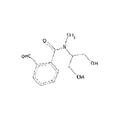 CN(C(=O)c1ccccc1C=O)C(CO)CO